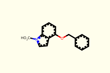 O=C(O)n1ccc2c(OCc3ccccc3)cccc21